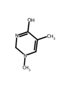 CC1=CN(C)CN=C1O